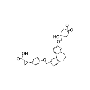 O=C(O)C1CC1c1ccc(OCc2ccc3c(c2)-c2ccc(OCC4(O)CCS(=O)(=O)CC4)cc2CCC3)cc1